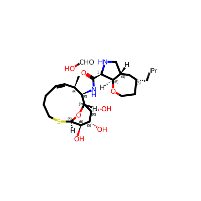 CC(C)C[C@@H]1CCO[C@@H]2[C@H](CN[C@@H]2C(=O)N[C@H]2[C@H]3O[C@H](SCCCC=C[C@H]2C)[C@H](O)[C@@H](O)[C@H]3O)C1.O=CO